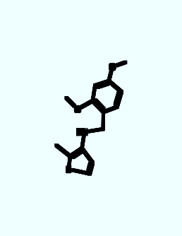 COc1ccc(CNc2ccsc2C)c(OC)c1